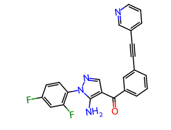 Nc1c(C(=O)c2cccc(C#Cc3cccnc3)c2)cnn1-c1ccc(F)cc1F